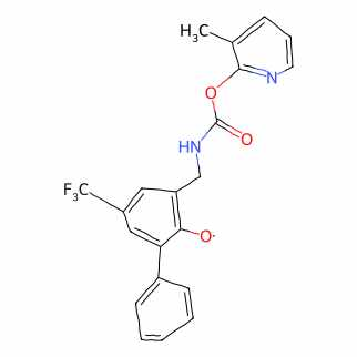 Cc1cccnc1OC(=O)NCc1cc(C(F)(F)F)cc(-c2ccccc2)c1[O]